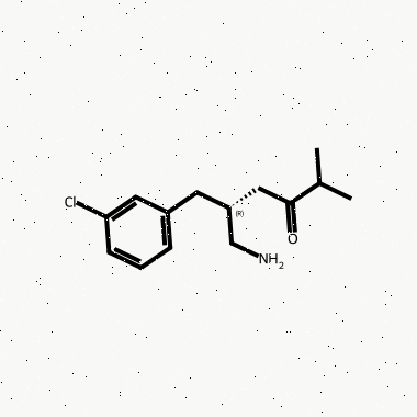 CC(C)C(=O)C[C@H](CN)Cc1cccc(Cl)c1